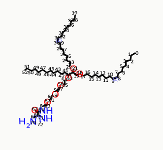 CCCCCCCC/C=C\CCCCCCCCOCC(OCCCCCCCC/C=C\CCCCCCCC)C(CCCCCCCCCCCC)OCCOCCOCCOCCNC(=O)/C(=C/N)NC